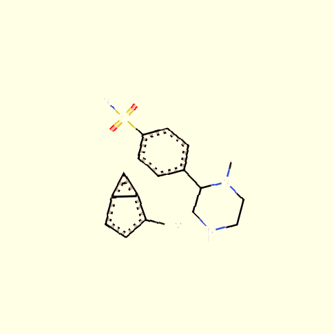 CCN1CCNCC1c1ccc(S(N)(=O)=O)cc1.COc1ccc2cc1-2